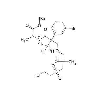 [2H]C([2H])([2H])C(COCC(C)(C)CS(=O)(=O)CCO)(C(=O)NN(C)C(=O)OC(C)(C)C)c1cccc(Br)c1